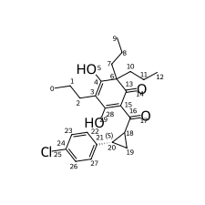 CCCC1=C(O)C(CCC)(CCC)C(=O)C(C(=O)C2C[C@@H]2c2ccc(Cl)cc2)=C1O